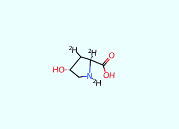 [2H]C1[C@@H](O)CN([2H])[C@]1([2H])C(=O)O